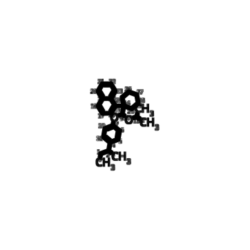 CCC(C)c1ccc(OC(OC(C)C)C2(c3cccc4ccccc34)CCCCC2)cc1